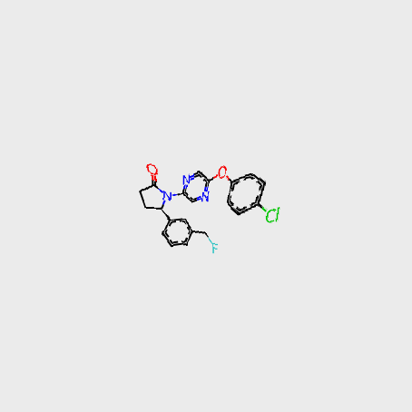 O=C1CC[C@H](c2cccc(CF)c2)N1c1cnc(Oc2ccc(Cl)cc2)cn1